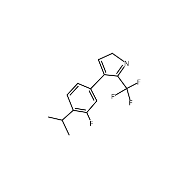 CC(C)c1ccc(C2=CCN=C2C(F)(F)F)cc1F